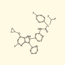 O=C(Nc1cc(-c2[nH]c3c(OC4CC4)cc(F)nc3c2-c2ccccn2)ccn1)[C@@H](CC(F)F)c1ccc(F)cc1